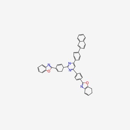 C1=Cc2nc(-c3ccc(-c4cc(-c5ccc(-c6ccc7ccccc7c6)cc5)nc(C5C=CC(c6nc7ccccc7o6)=CC5)n4)cc3)oc2CC1